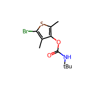 Cc1sc(Br)c(C)c1OC(=O)NC(C)(C)C